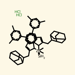 Cc1cc(C)cc(-c2cccc3c2C=C(CC2C4CC5CC(C4)CC2C5)[CH]3[Zr]([CH3])([CH3])(=[SiH2])[CH]2C(CC3C4CC5CC(C4)CC3C5)=Cc3c(-c4cc(C)cc(C)c4)cccc32)c1.Cl.Cl